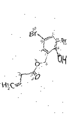 C=CCC(=O)OCc1cc(Br)cc(Br)c1O